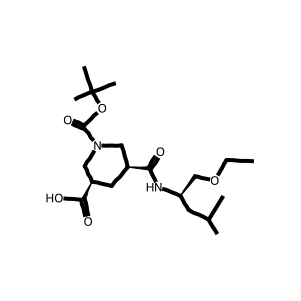 CCOC[C@@H](CC(C)C)NC(=O)[C@H]1C[C@@H](C(=O)O)CN(C(=O)OC(C)(C)C)C1